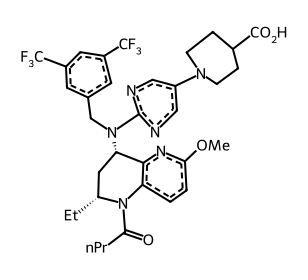 CCCC(=O)N1c2ccc(OC)nc2[C@@H](N(Cc2cc(C(F)(F)F)cc(C(F)(F)F)c2)c2ncc(N3CCC(C(=O)O)CC3)cn2)C[C@H]1CC